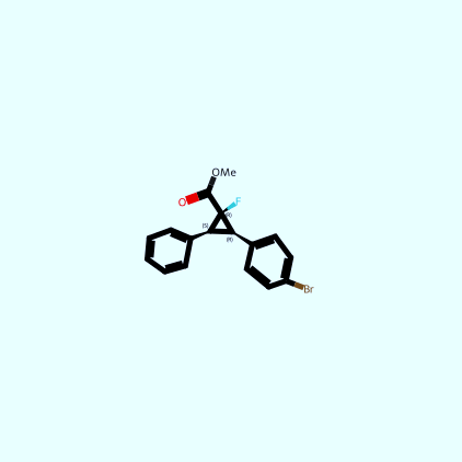 COC(=O)[C@@]1(F)[C@H](c2ccccc2)[C@@H]1c1ccc(Br)cc1